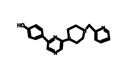 Oc1ccc(-c2cncc(N3CCN(Cc4ccccn4)CC3)n2)cc1